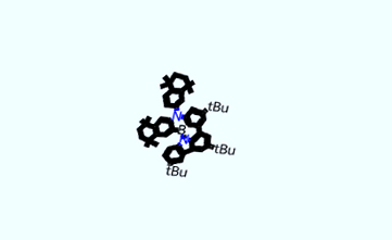 CC(C)(C)c1cc2c3c(c1)N(c1ccc4c(c1)C(C)(C)CCC4(C)C)c1cc4c(cc1B3n1c3ccc(C(C)(C)C)cc3c3cc(C(C)(C)C)cc-2c31)C(C)(C)CCC4(C)C